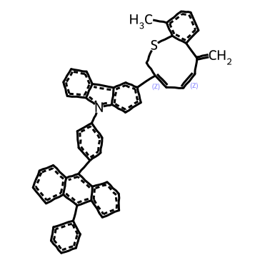 C=C1/C=C\C=C(\c2ccc3c(c2)c2ccccc2n3-c2ccc(-c3c4ccccc4c(-c4ccccc4)c4ccccc34)cc2)CSc2c(C)cccc21